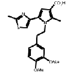 COc1ccc(CCn2c(-c3csc(C)n3)cc(C(=O)O)c2C)cc1OC